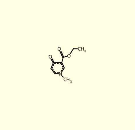 CCOC(=O)c1cn(C)ccc1=O